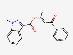 CC(=CC(=O)c1ccccc1)OC(=O)c1nn(C)c2ccccc12